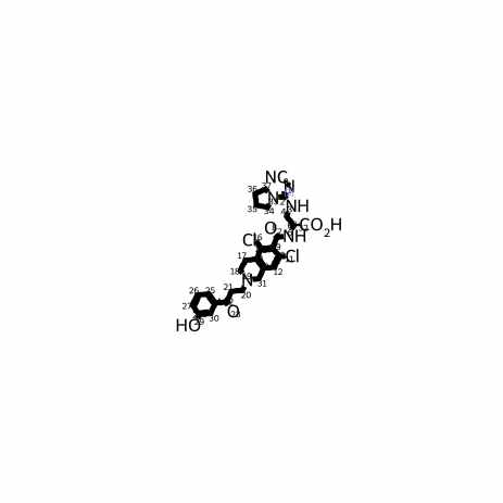 N#C/N=C(/NC[C@H](NC(=O)c1c(Cl)cc2c(c1Cl)CCN(CCC(=O)c1cccc(O)c1)C2)C(=O)O)N1CCCC1